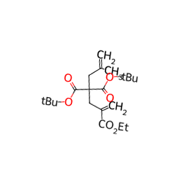 C=C(C)CC(CC(=C)C(=O)OCC)(C(=O)OC(C)(C)C)C(=O)OC(C)(C)C